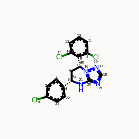 Clc1ccc([C@@H]2C[C@H](c3c(Cl)cccc3Cl)n3ncnc3N2)cc1